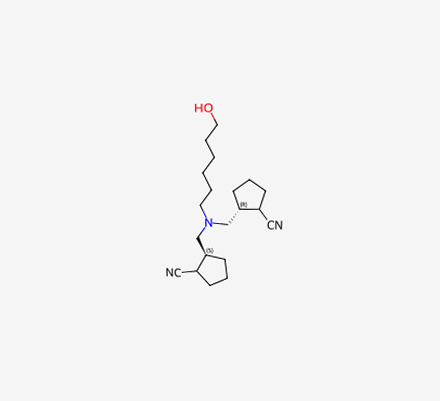 N#CC1CCC[C@@H]1CN(CCCCCCO)C[C@@H]1CCCC1C#N